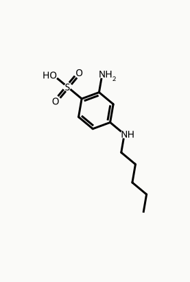 CCCCCNc1ccc(S(=O)(=O)O)c(N)c1